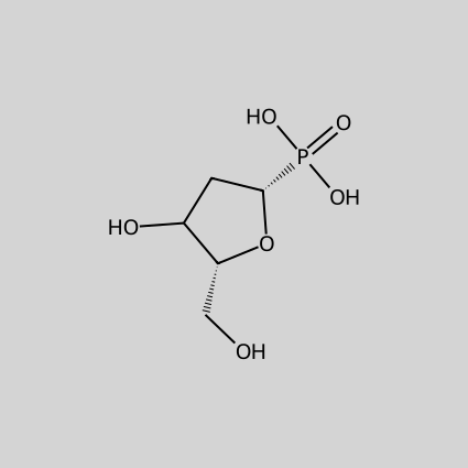 O=P(O)(O)[C@H]1CC(O)[C@@H](CO)O1